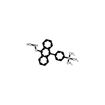 C[Si](C)(C)c1ccc(-c2c3ccccc3c(OBO)c3ccccc23)cc1